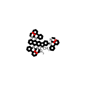 CC1(C)c2cc(N(c3cnccn3)c3ccccc3-c3ccccc3)ccc2-c2cc3c(N(c4cnccn4)c4ccccc4-c4ccccc4)c4ccccc4c(N(c4cnccn4)c4ccccc4-c4ccccc4)c3cc21